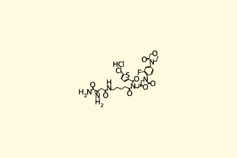 Cl.NC(=O)[C@@H](N)CC(=O)NCCCCC(=O)N(C[C@H]1CN(c2ccc(N3CCOCC3=O)cc2F)C(=O)O1)C(=O)c1ccc(Cl)s1